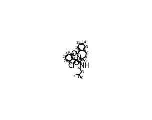 CC(C)CCNC(=O)C1(C)CCc2ccccc2C(=O)N1Cc1ccccc1Cl